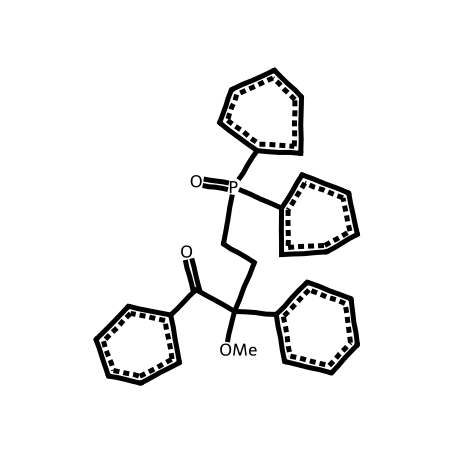 COC(CCP(=O)(c1ccccc1)c1ccccc1)(C(=O)c1ccccc1)c1ccccc1